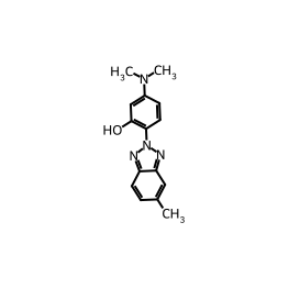 Cc1ccc2nn(-c3ccc(N(C)C)cc3O)nc2c1